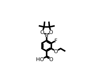 CCOc1c(C(=O)O)ccc(B2OC(C)(C)C(C)(C)O2)c1F